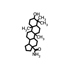 CC1(C)C(O)CCC2(C)C1CCC1(C)C3CCC4(C(N)=O)CCCC4C3CCC12